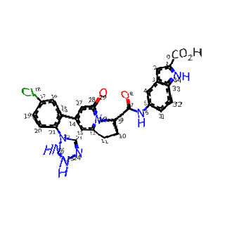 O=C(O)c1cc2cc(NC(=O)C3CCc4cc(-c5cc(Cl)ccc5N5C=NNN5)cc(=O)n43)ccc2[nH]1